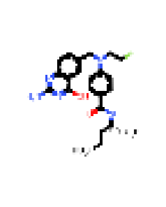 Nc1nc(O)c2cc(CN(CCF)c3ccc(C(=O)N[C@@H](CCC(=O)O)C(=O)O)cc3)ccc2n1